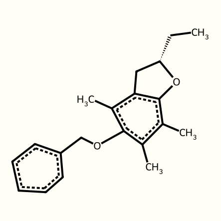 CC[C@H]1Cc2c(C)c(OCc3ccccc3)c(C)c(C)c2O1